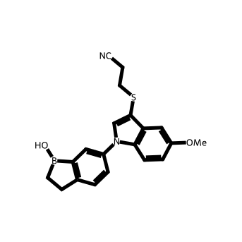 COc1ccc2c(c1)c(SCCC#N)cn2-c1ccc2c(c1)B(O)CC2